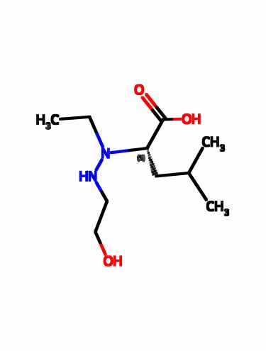 CCN(NCCO)[C@@H](CC(C)C)C(=O)O